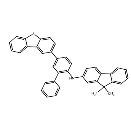 CC1(C)c2ccccc2-c2ccc(Nc3ccc(-c4ccc5sc6ccccc6c5c4)cc3-c3ccccc3)cc21